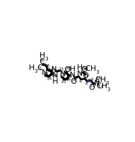 COC(=O)NC(CC/C=C/C(=O)N(C)C)C(=O)Nc1cccn(Cc2nc3c(CC(C)C)nccc3[nH]2)c1=O